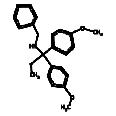 C[CH]C(NCc1ccccc1)(c1ccc(OC)cc1)c1ccc(OC)cc1